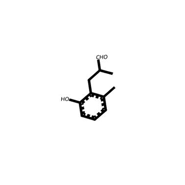 Cc1cccc(O)c1CC(C)C=O